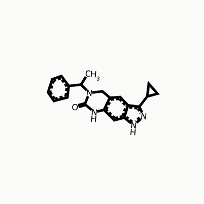 CC(c1ccccc1)N1Cc2cc3c(C4CC4)n[nH]c3cc2NC1=O